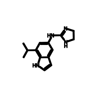 CC(C)c1cc(NC2=NCCN2)cc2cc[nH]c12